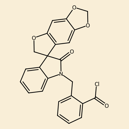 O=C(Cl)c1ccccc1CN1C(=O)C2(COc3cc4c(cc32)OCO4)c2ccccc21